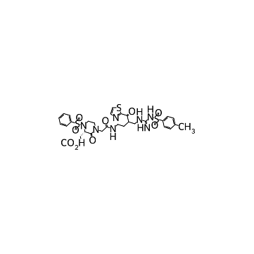 Cc1ccc(S(=O)(=O)NC(=N)NCC(CCNC(=O)CN2CCN(S(=O)(=O)c3ccccc3)[C@@H](CC(=O)O)C2=O)C(=O)c2nccs2)cc1